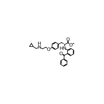 COC(=O)[C@H](Cc1ccc(OCCNCC2CC2)cc1)Nc1ccccc1C(=O)c1ccccc1